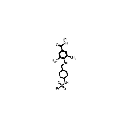 Cc1cc(C(=O)NC(C)C)cc(C)c1NCC1CCC(NS(=O)(=O)C(C)C)CC1